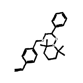 C=Cc1ccc(COCC(ON2C(C)(C)CCCC2(C)C)c2ccccc2)cc1